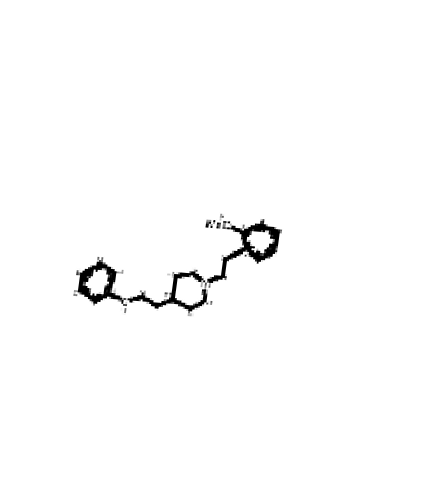 COc1ccccc1CCN1CCC(CCOc2ccccc2)CC1